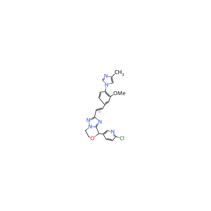 COc1cc(/C=C/c2nc3n(n2)CCOC3c2ccc(Cl)nc2)ccc1-n1cnc(C)c1